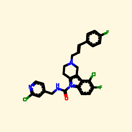 O=C(NCc1ccnc(Cl)c1)n1c2c(c3c(Cl)c(F)ccc31)CN(C/C=C/c1ccc(F)cc1)CC2